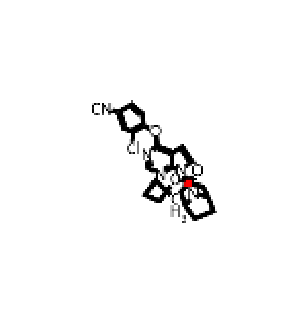 [C-]#[N+]c1ccc(Oc2ncnc3c2ccn3C2CC3CCC(C2)N3C(=O)OC2(C)CCC2)c(Cl)c1